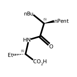 CCCCC[C@H](CCCC)C(=O)N[C@@H](CC)C(=O)O